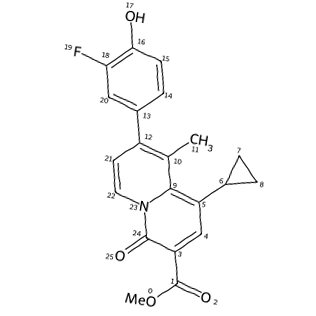 COC(=O)c1cc(C2CC2)c2c(C)c(-c3ccc(O)c(F)c3)ccn2c1=O